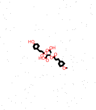 COc1ccc(/C=C/C(=O)O[C@@H](CC(=O)O)[C@@H](OC(=O)/C=C/c2ccc(O)cc2)C(=O)O)cc1